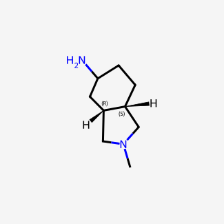 CN1C[C@H]2CCC(N)C[C@H]2C1